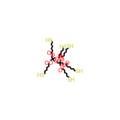 O=C(CCCCCS)OCC(COCC(COC(=O)CCCCCS)(COC(=O)CCCCCS)COC(=O)CCCCCS)(COC(=O)CCCCCS)COC(=O)CCCCCS